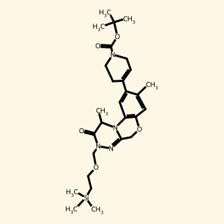 Cc1cc2c(cc1C1=CCN(C(=O)OC(C)(C)C)CC1)N1C(=NN(COCC[Si](C)(C)C)C(=O)C1C)CO2